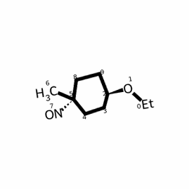 CCO[C@H]1CC[C@](C)(N=O)CC1